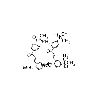 CCC(C)(C)c1ccc(OC)c(C=CC(=O)c2ccc(C(=O)N(C)C)cc2)c1.CCCc1ccc(OC)c(C=CC(=O)c2ccc(C(=O)N(C)C)cc2)c1